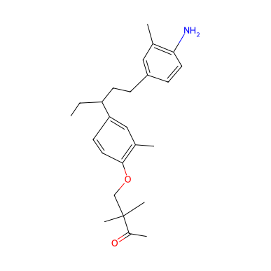 CCC(CCc1ccc(N)c(C)c1)c1ccc(OCC(C)(C)C(C)=O)c(C)c1